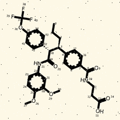 CCC[C@@H](c1ccc(C(=O)NCCC(=O)O)cc1)[C@H](C(=O)Nc1ccc(OC)c(OC)c1)c1ccc(OC(F)(F)F)cc1